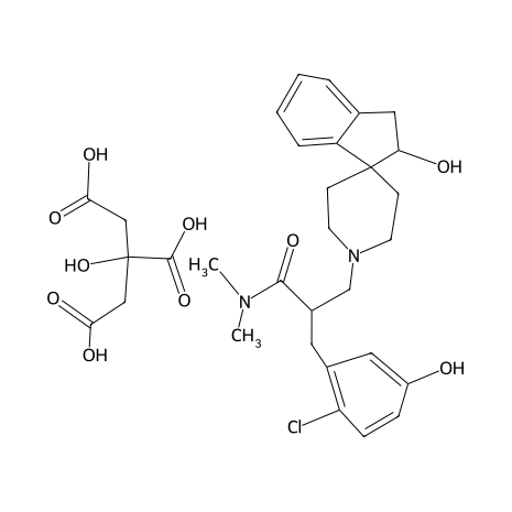 CN(C)C(=O)C(Cc1cc(O)ccc1Cl)CN1CCC2(CC1)c1ccccc1CC2O.O=C(O)CC(O)(CC(=O)O)C(=O)O